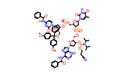 COc1ccc(C(OC[C@H]2O[C@@H](n3ccc(NC(=O)c4ccccc4)nc3=O)C[C@@H]2O[PH](=O)OC[C@H]2O[C@@H](n3cc(C)c(=O)[nH]c3=O)C[C@@H]2O[PH](=O)OC[C@H]2O[C@@H](n3cnc4c3NCN=C4NC(=O)c3ccccc3)C[C@@H]2OP(OCCC#N)N(C(C)C)C(C)C)(c2ccccc2)c2ccc(OC)cc2)cc1